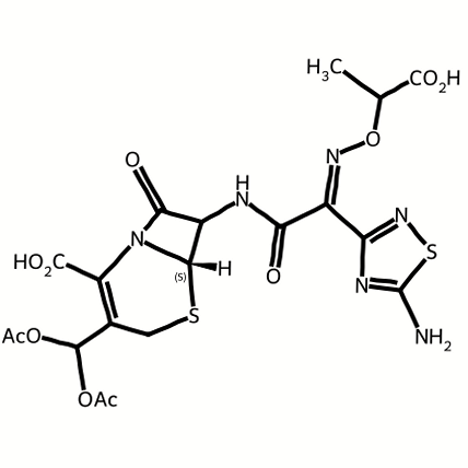 CC(=O)OC(OC(C)=O)C1=C(C(=O)O)N2C(=O)C(NC(=O)C(=NOC(C)C(=O)O)c3nsc(N)n3)[C@@H]2SC1